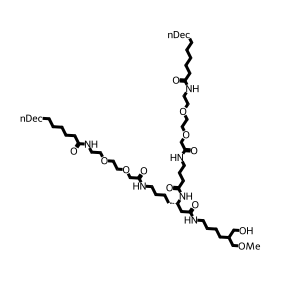 CCCCCCCCCCCCCCCC(=O)NCCOCCOCC(=O)NCCCC[C@@H](CC(=O)NCCCCC(CO)COC)NC(=O)CCCNC(=O)COCCOCCNC(=O)CCCCCCCCCCCCCCC